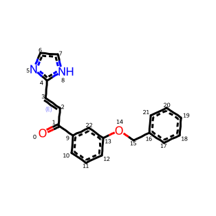 O=C(/C=C/c1ncc[nH]1)c1cccc(OCc2ccccc2)c1